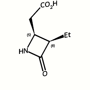 CC[C@H]1C(=O)N[C@H]1CC(=O)O